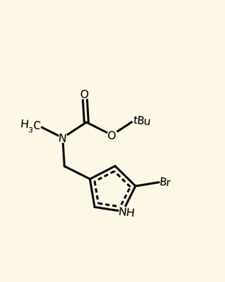 CN(Cc1c[nH]c(Br)c1)C(=O)OC(C)(C)C